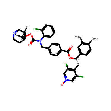 COc1ccc([C@H](Cc2c(Cl)c[n+]([O-])cc2Cl)OC(=O)c2ccc(CN(C(=O)O[C@H]3CN4CCC3CC4)c3ccccc3Cl)cc2)cc1OC